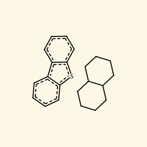 C1CCC2CCCCC2C1.c1ccc2c(c1)sc1ccccc12